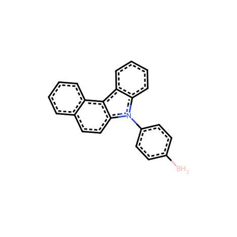 Bc1ccc(-n2c3ccccc3c3c4ccccc4ccc32)cc1